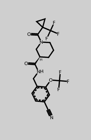 N#Cc1ccc(CNC(=O)[C@@H]2CCCN(C(=O)C3(C(F)(F)F)CC3)C2)c(OC(F)(F)F)c1